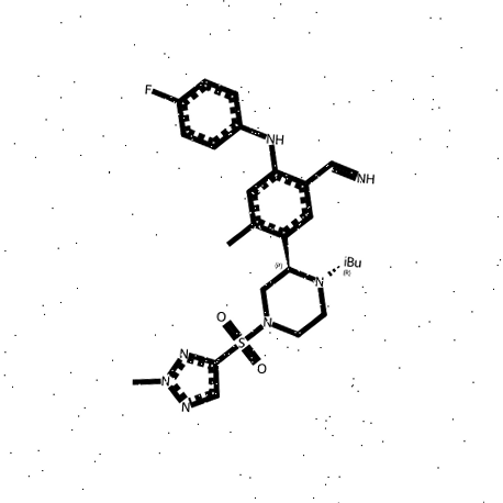 CC[C@@H](C)N1CCN(S(=O)(=O)c2cnn(C)n2)C[C@H]1c1cc(C=N)c(Nc2ccc(F)cc2)cc1C